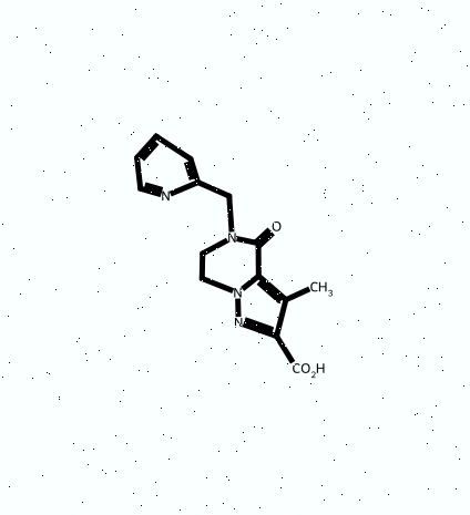 Cc1c(C(=O)O)nn2c1C(=O)N(Cc1ccccn1)CC2